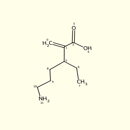 C=C(C(=O)O)C(CC)CCCN